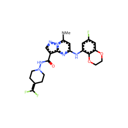 CNc1cc(Nc2cc(F)cc3c2OCCO3)nc2c(C(=O)NN3CCC(=C(F)F)CC3)cnn12